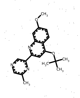 COc1ccc2c(OC(C)(C)C)cc(-c3cncc(C)n3)nc2c1